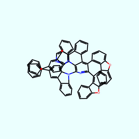 c1ccc(-c2ccc3c(c2)c2ccccc2n3-c2nc(-c3cccc4oc5ccccc5c34)c(-c3cccc4oc5ccccc5c34)c(-c3ccccc3-c3ccncc3)c2-n2c3ccccc3c3cc(-c4ccccc4)ccc32)cc1